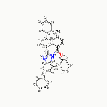 N#Cc1ccc2c(=O)n3c(nc4cc(-c5ccccc5)cc(-c5ccccc5)c43)c3ccc(-c4ccccc4)c1c23